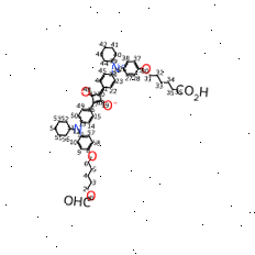 O=COCCCCCOc1ccc(N(c2ccc(C3=C([O-])C(=C4C=CC(=[N+](c5ccc(OCCCCCC(=O)O)cc5)C5CCCCC5)C=C4)C3=O)cc2)C2CCCCC2)cc1